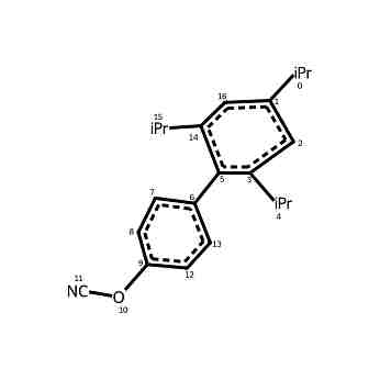 CC(C)c1cc(C(C)C)c(-c2ccc(OC#N)cc2)c(C(C)C)c1